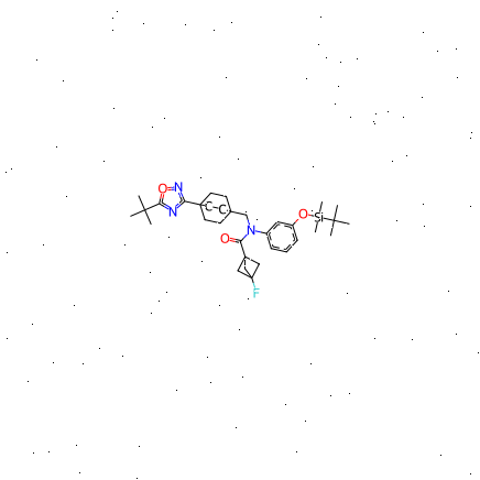 CC(C)(C)c1nc(C23CCC(CN(C(=O)C45CC(F)(C4)C5)c4cccc(O[Si](C)(C)C(C)(C)C)c4)(CC2)CC3)no1